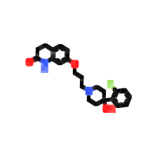 O=C1CCc2ccc(OCCCN3CCC(O)(c4ccccc4F)CC3)cc2N1